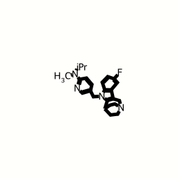 CC(C)N(C)c1ccc(Cn2c3c(c4cc(F)ccc42)CN2CCC3CC2)cn1